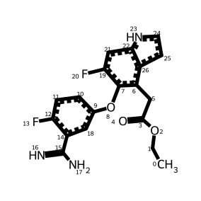 CCOC(=O)Cc1c(Oc2ccc(F)c(C(=N)N)c2)c(F)cc2[nH]ccc12